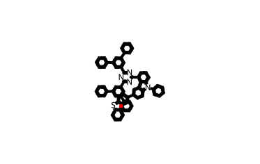 c1ccc(-c2cc(-c3ccccc3)cc(-c3nc(-c4cc(-c5ccccc5)cc(-c5ccccc5)c4)nc(-c4cccc5c4c4cc(-c6ccc7sc8ccccc8c7c6)ccc4n5-c4ccccc4)n3)c2)cc1